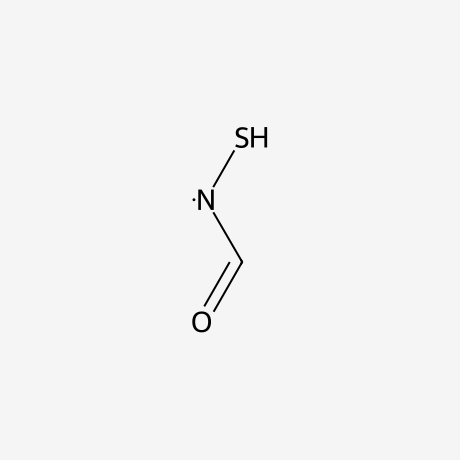 O=C[N]S